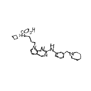 C1CCC1.O=C(O)NCCCn1ccc2cnc(Nc3cccc(CN4CCCCC4)c3)nc21